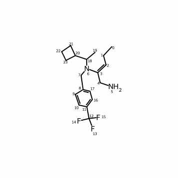 CC/C=C(/CN)N(Cc1ccc(C(F)(F)F)cc1)C(C)C1CCC1